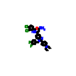 [CH2]CN(C[CH2])c1ccc(-c2nc3cc(C(CC(N)=O)NCc4ccc(Cl)c(Cl)c4)ccc3n2Cc2ccc(F)c(F)c2)cc1